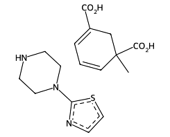 CC1(C(=O)O)C=CC=C(C(=O)O)C1.c1csc(N2CCNCC2)n1